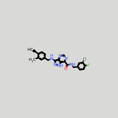 C#Cc1ccc(CNc2n[nH]c3c(C(=O)NCc4ccc(F)c(Cl)c4)ncnc23)cc1C